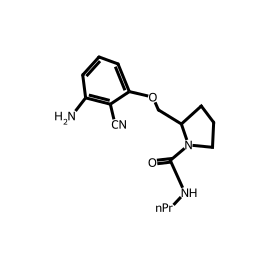 CCCNC(=O)N1CCCC1COc1cccc(N)c1C#N